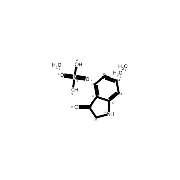 CS(=O)(=O)O.O.O.O.O=C1CNc2ccccc21